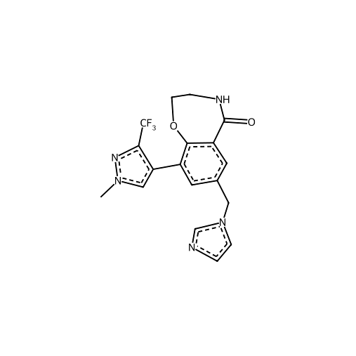 Cn1cc(-c2cc(Cn3ccnc3)cc3c2OCCNC3=O)c(C(F)(F)F)n1